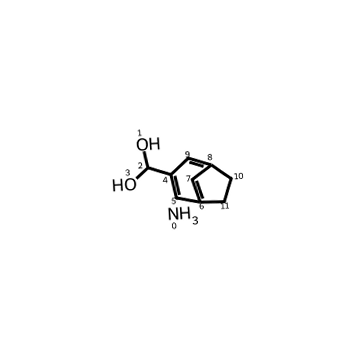 N.OC(O)c1cc2cc(c1)CC2